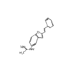 CC(=N)Nc1ccc2oc(/C=C/c3ccccc3)cc2c1